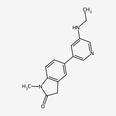 CCNc1cncc(-c2ccc3c(c2)CC(=O)N3C)c1